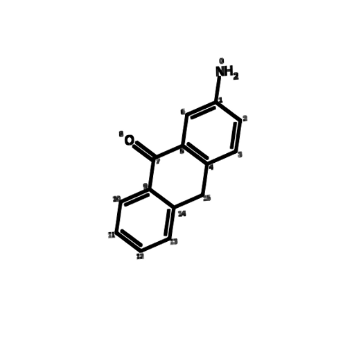 Nc1ccc2c(c1)C(=O)c1ccccc1C2